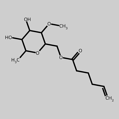 C=CCCCC(=O)OCC1OC(C)C(O)C(O)C1OC